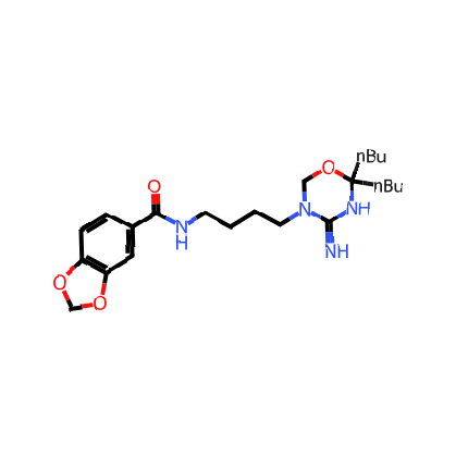 CCCCC1(CCCC)NC(=N)N(CCCCNC(=O)c2ccc3c(c2)OCO3)CO1